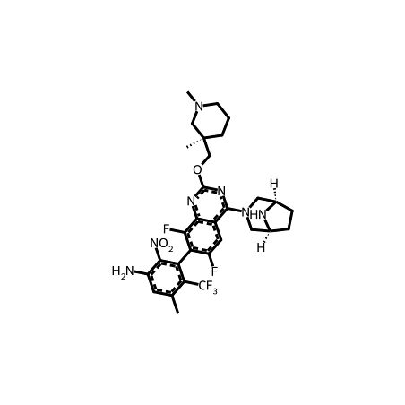 Cc1cc(N)c([N+](=O)[O-])c(-c2c(F)cc3c(N4C[C@H]5CC[C@@H](C4)N5)nc(OC[C@]4(C)CCCN(C)C4)nc3c2F)c1C(F)(F)F